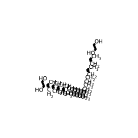 C=C.C=C.C=C.C=C.C=C.C=C.C=C.C=C.C=CC.C=CC.C=CC.C=CC.C=CC.C=CC.OCCO.OCCO